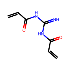 C=CC(=O)NC(=N)NC(=O)C=C